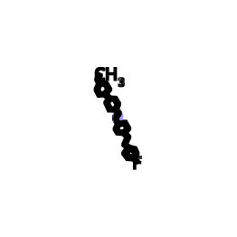 CCC1CCC(C2CCC(/C=C/C3CCC(CCc4ccc(F)cc4)CC3)CC2)CC1